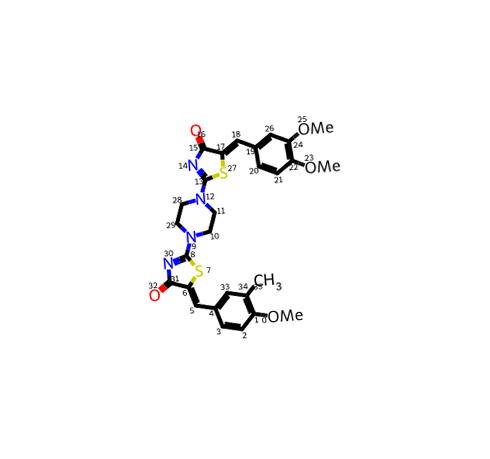 COc1ccc(/C=C2\SC(N3CCN(C4=NC(=O)/C(=C/c5ccc(OC)c(OC)c5)S4)CC3)=NC2=O)cc1C